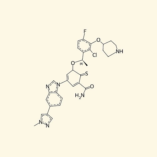 C[C@@H](OC1C=C(n2cnc3cc(-c4cnn(C)c4)ccc32)C=C(C(N)=O)C1=S)c1ccc(F)c(OC2CCNCC2)c1Cl